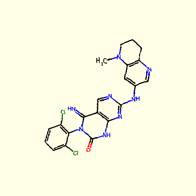 CN1CCCc2ncc(Nc3ncc4c(=N)n(-c5c(Cl)cccc5Cl)c(=O)[nH]c4n3)cc21